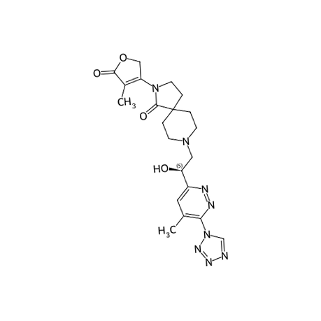 CC1=C(N2CCC3(CCN(C[C@H](O)c4cc(C)c(-n5cnnn5)nn4)CC3)C2=O)COC1=O